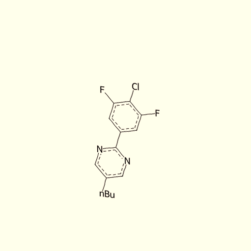 CCCCc1cnc(-c2cc(F)c(Cl)c(F)c2)nc1